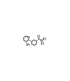 CCN(CC)C(=O)c1cccc(-c2ncccc2C(C)C)c1